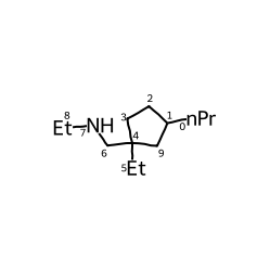 CCCC1CCC(CC)(CNCC)C1